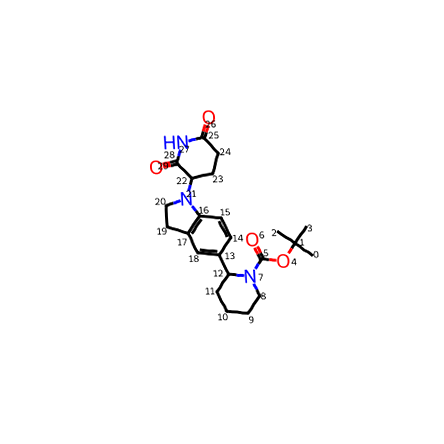 CC(C)(C)OC(=O)N1CCCCC1c1ccc2c(c1)CCN2C1CCC(=O)NC1=O